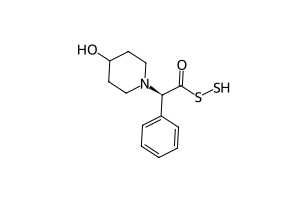 O=C(SS)[C@@H](c1ccccc1)N1CCC(O)CC1